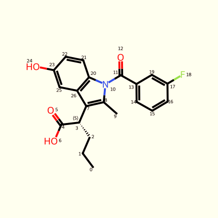 CCC[C@H](C(=O)O)c1c(C)n(C(=O)c2cccc(F)c2)c2ccc(O)cc12